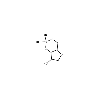 CC(C)(C)[Si]1(C(C)(C)C)OCC2OCC(O)C2O1